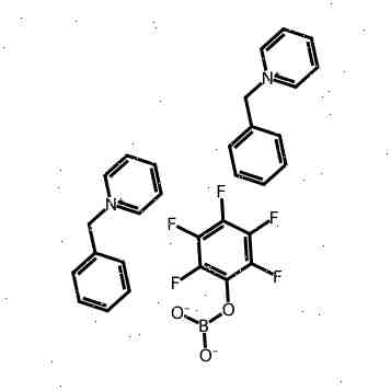 [O-]B([O-])Oc1c(F)c(F)c(F)c(F)c1F.c1ccc(C[n+]2ccccc2)cc1.c1ccc(C[n+]2ccccc2)cc1